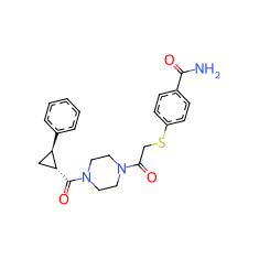 NC(=O)c1ccc(SCC(=O)N2CCN(C(=O)[C@@H]3C[C@H]3c3ccccc3)CC2)cc1